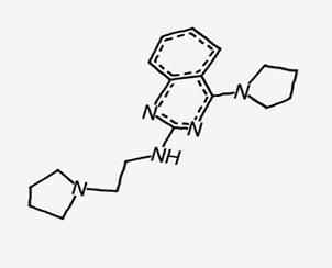 c1ccc2c(N3CCCC3)nc(NCCN3CCCC3)nc2c1